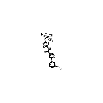 CC(O)(Cc1nsc(NC(=O)c2coc(-c3cccc(C(F)(F)F)c3)c2)n1)C(F)(F)F